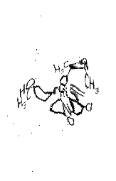 Cc1noc(C)c1-c1ccc2c(c1)nc(C1CCCC(=O)N1c1ccc(Cl)c(F)c1)n2C1CCC(C)(O)CC1